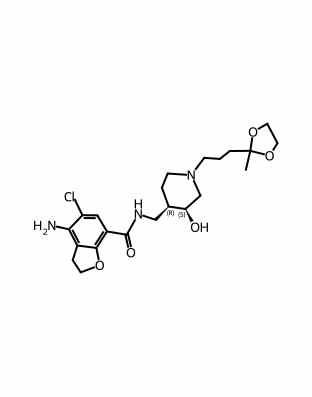 CC1(CCCN2CC[C@H](CNC(=O)c3cc(Cl)c(N)c4c3OCC4)[C@H](O)C2)OCCO1